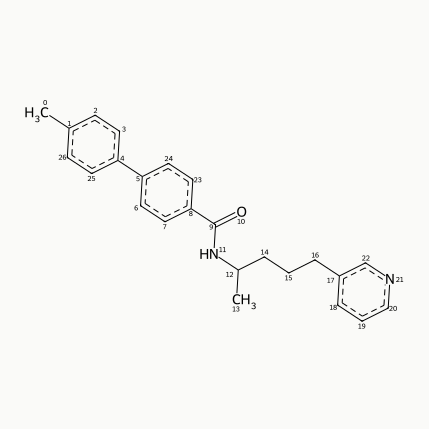 Cc1ccc(-c2ccc(C(=O)NC(C)CCCc3cccnc3)cc2)cc1